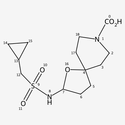 O=C(O)N1CCC2(CCC(NS(=O)(=O)CC3CC3)O2)CC1